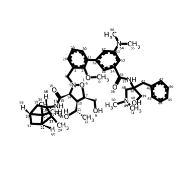 COc1c(CN2O[C@@H](CO)[C@@H]([C@H](C)O)[C@H]2C(=O)N[C@H]2C[C@H]3C[C@@H]([C@@H]2C)C3(C)C)cccc1-c1cc(C(=O)NC(CO)(Cc2ccccc2)CN(C)C)cc(N(C)C)c1